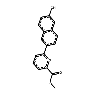 COC(=O)c1cccc(-c2ccc3cc(O)ccc3c2)n1